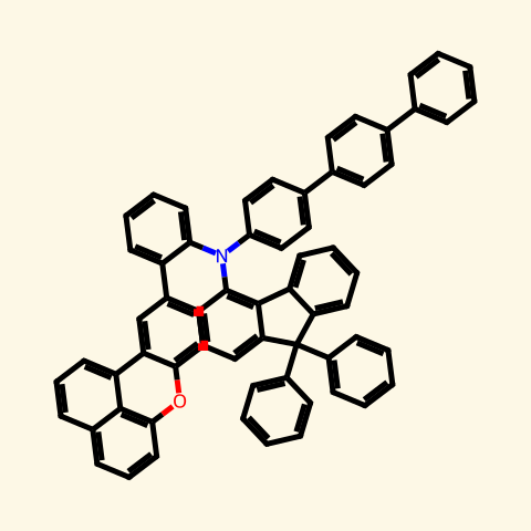 c1ccc(-c2ccc(-c3ccc(N(c4ccccc4-c4ccc5c(c4)-c4cccc6cccc(c46)O5)c4cccc5c4-c4ccccc4C5(c4ccccc4)c4ccccc4)cc3)cc2)cc1